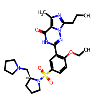 CCCc1nc(C)c2c(=O)[nH]c(-c3cc(S(=O)(=O)N4CCC[C@H]4CN4CCCC4)ccc3OCC)nn12